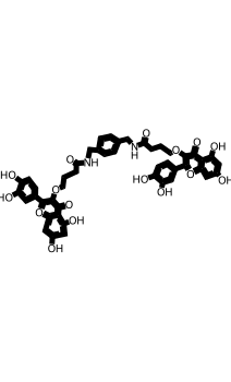 O=C(CCCOc1c(-c2ccc(O)c(O)c2)oc2cc(O)cc(O)c2c1=O)NCc1ccc(CNC(=O)CCCOc2c(-c3ccc(O)c(O)c3)oc3cc(O)cc(O)c3c2=O)cc1